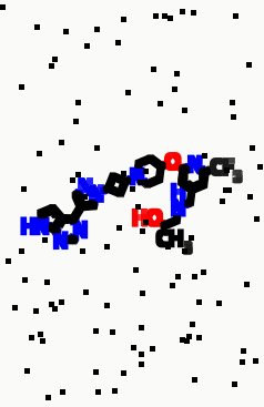 C[C@@H](O)CNCc1cc(OC2CCN(C3CC(n4cc(-c5ncnc6[nH]ccc56)cn4)C3)CC2)nc(C(F)(F)F)c1